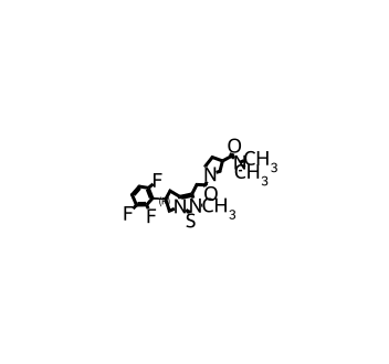 CN(C)C(=O)C1CCN(C(=O)Cc2c3n(c(=S)n2C)C[C@@H](c2c(F)ccc(F)c2F)C3)C1